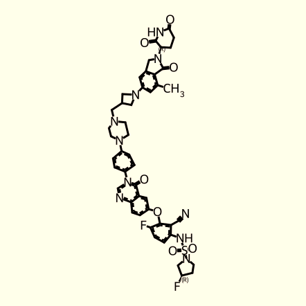 Cc1cc(N2CC(CN3CCN(c4ccc(-n5cnc6ccc(Oc7c(F)ccc(NS(=O)(=O)N8CC[C@@H](F)C8)c7C#N)cc6c5=O)cc4)CC3)C2)cc2c1C(=O)N([C@@H]1CCC(=O)NC1=O)C2